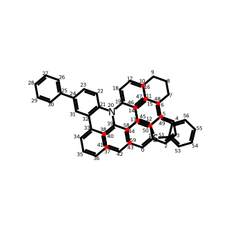 C1=c2cccc(C3CCCCC3)c2=C(c2ccccc2N(c2ccc(-c3ccccc3)cc2-c2ccccc2)c2ccccc2-c2cccc3c2sc2ccccc23)CC1